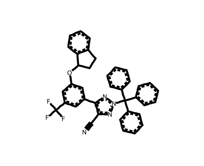 N#Cc1nn(C(c2ccccc2)(c2ccccc2)c2ccccc2)nc1-c1cc(OC2CCc3ccccc32)cc(C(F)(F)F)c1